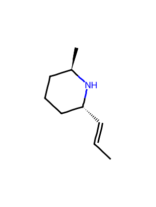 CC=C[C@@H]1CCC[C@@H](C)N1